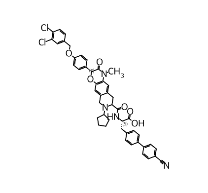 CN1C(=O)[C@H](c2ccc(OCc3ccc(Cl)c(Cl)c3)cc2)Oc2cc3c(cc21)CC(C(=O)N[C@@H](Cc1ccc(-c2ccc(C#N)cc2)cc1)C(=O)O)N(C1CCCC1)C3